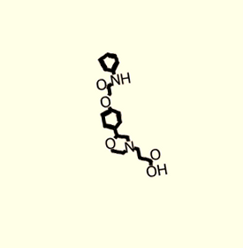 O=C(O)CCN1CCOC(c2ccc(OCC(=O)Nc3ccccc3)cc2)C1